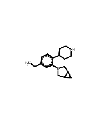 FC(F)(F)Cc1ccc(C2CCNCC2)c(N2CC3CC3C2)c1